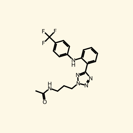 CC(=O)NCCCn1nnc(-c2ccccc2Nc2ccc(C(F)(F)F)cc2)n1